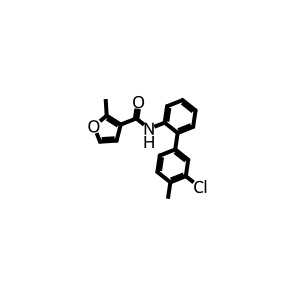 Cc1ccc(-c2ccccc2NC(=O)c2ccoc2C)cc1Cl